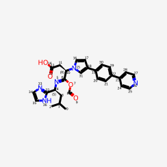 CC(C)C[C@H](N=C(OC=O)[C@@H](CC(=O)O)n1ccc(-c2ccc(-c3ccncc3)cc2)c1)c1ncc[nH]1